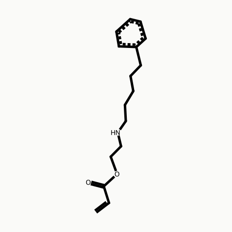 C=CC(=O)OCCNCCCCCc1ccccc1